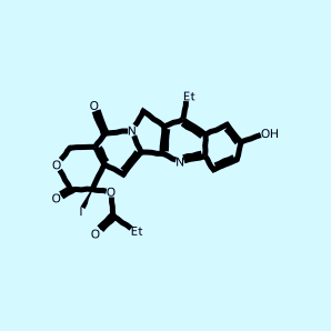 CCC(=O)O[C@]1(I)C(=O)OCc2c1cc1n(c2=O)Cc2c-1nc1ccc(O)cc1c2CC